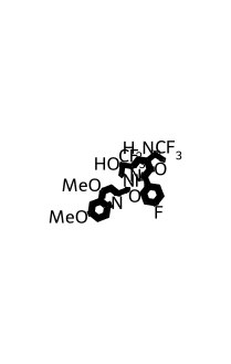 COc1ccc2nc(C(=O)NCC(O)(c3cc4c(c(-c5ccc(F)cc5)n3)OC[C@@]4(N)C(F)(F)F)C(F)(F)F)cc(OC)c2c1